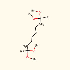 CCCC(OC(C)C)(OC(C)C)[SiH2]CCCC[SiH2]C(CCC)(OC(C)C)OC(C)C